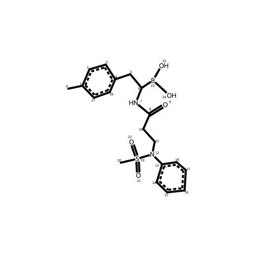 Cc1ccc(CC(NC(=O)CCN(c2ccccc2)S(C)(=O)=O)B(O)O)cc1